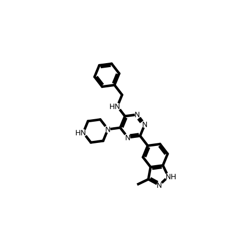 Cc1n[nH]c2ccc(-c3nnc(NCc4ccccc4)c(N4CCNCC4)n3)cc12